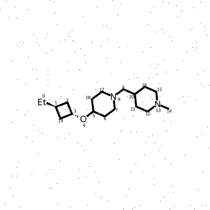 CC[C@H]1C[C@H](OC2CCN(CC3CCN(C)CC3)CC2)C1